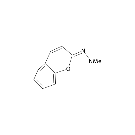 CNN=c1ccc2ccccc2o1